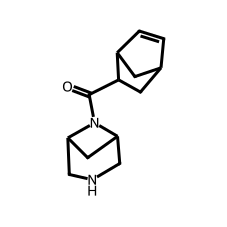 O=C(C1CC2C=CC1C2)N1C2CNCC1C2